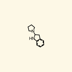 c1ccc2c(c1)CC(N1CCCC1)N2